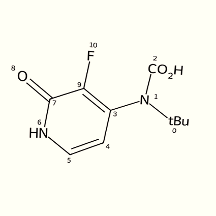 CC(C)(C)N(C(=O)O)c1cc[nH]c(=O)c1F